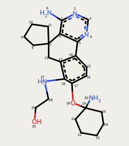 Nc1ncnc2c1C1(CCCC1)Cc1c-2ccc(OC2(N)CCCCC2)c1NCCO